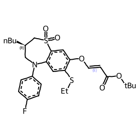 CCCC[C@@H]1CN(c2ccc(F)cc2)c2cc(SCC)c(O/C=C/C(=O)OC(C)(C)C)cc2S(=O)(=O)C1